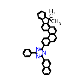 CC1(C)c2ccccc2-c2ccc3c(ccc4ccc5cc(-c6nc(-c7ccccc7)nc(-c7ccc8ccccc8c7)n6)ccc5c43)c21